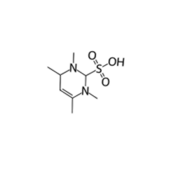 CC1=CC(C)N(C)C(S(=O)(=O)O)N1C